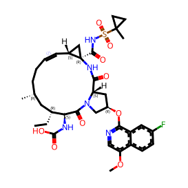 CC[C@@H]1C[C@H](C)CC/C=C\[C@@H]2C[C@@]2(C(=O)NS(=O)(=O)C2(C)CC2)NC(=O)[C@@H]2C[C@@H](Oc3ncc(OC)c4ccc(F)cc34)CN2C(=O)[C@H]1NC(=O)O